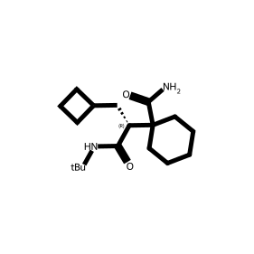 CC(C)(C)NC(=O)[C@H](CC1CCC1)C1(C(N)=O)CCCCC1